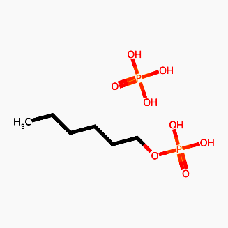 CCCCCCOP(=O)(O)O.O=P(O)(O)O